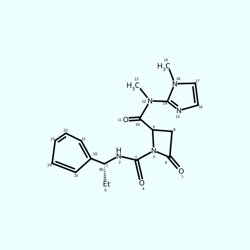 CC[C@@H](NC(=O)N1C(=O)CC1C(=O)N(C)c1nccn1C)c1ccccc1